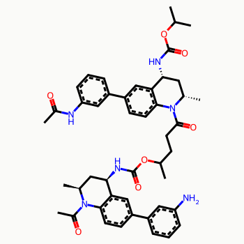 CC(=O)Nc1cccc(-c2ccc3c(c2)[C@H](NC(=O)OC(C)C)C[C@H](C)N3C(=O)CCC(C)OC(=O)N[C@@H]2C[C@H](C)N(C(C)=O)c3ccc(-c4cccc(N)c4)cc32)c1